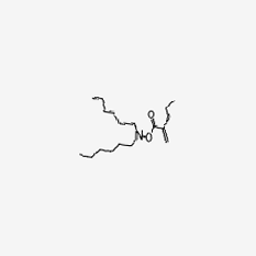 C=C(CCC)C(=O)ON(CCCCCC)CCCCCC